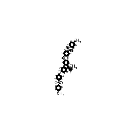 Cc1ccc(S(=O)(=O)c2ccc(Oc3ccc(C(C)(c4ccc(Oc5ccc(S(=O)(=O)c6ccc(C)cc6)cc5)cc4)C(F)(F)F)cc3)cc2)cc1